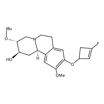 COc1cc2c(cc1OC1C=C(F)C1)CCN1C[C@@H](OC(C)(C)C)[C@H](O)C[C@H]21